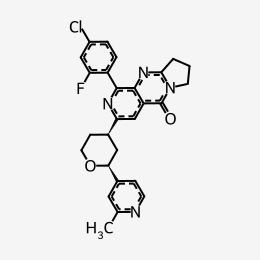 Cc1cc([C@@H]2C[C@H](c3cc4c(=O)n5c(nc4c(-c4ccc(Cl)cc4F)n3)CCC5)CCO2)ccn1